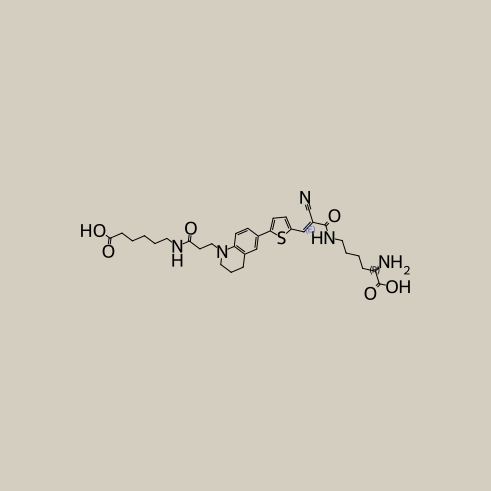 N#C/C(=C\c1ccc(-c2ccc3c(c2)CCCN3CCC(=O)NCCCCCC(=O)O)s1)C(=O)NCCCC[C@@H](N)C(=O)O